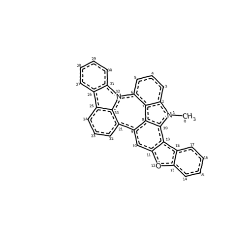 Cn1c2cccc3c2c2c(cc4oc5ccccc5c4c21)c1cccc2c4ccccc4n3c12